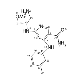 COC[C@H](CN)Nc1ncc(C(N)=O)c(Nc2cccc(C)c2)n1